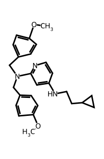 COc1ccc(CN(Cc2ccc(OC)cc2)c2cc(NCCC3CC3)ccn2)cc1